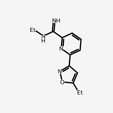 CCNC(=N)c1cccc(-c2cc(CC)on2)n1